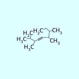 [CH2]CC(C)C(C)C#CC(C)C([CH2])C